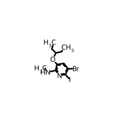 CCC(CC)Oc1cc(Br)c(I)nc1NC